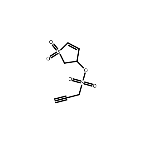 C#CCS(=O)(=O)OC1C=CS(=O)(=O)C1